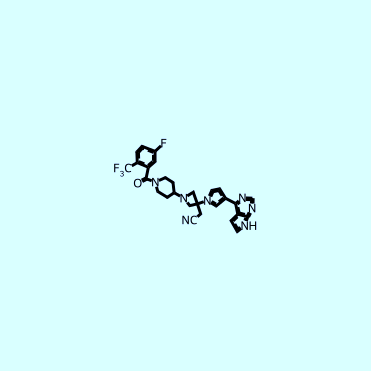 N#CCC1(n2ccc(-c3ncnc4[nH]ccc34)c2)CN(C2CCN(C(=O)c3cc(F)ccc3C(F)(F)F)CC2)C1